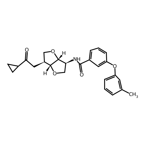 Cc1cccc(Oc2cccc(C(=O)N[C@H]3CO[C@@H]4[C@@H](CC(=O)C5CC5)CO[C@@H]43)c2)c1